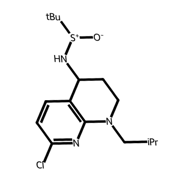 CC(C)CN1CCC(N[S+]([O-])C(C)(C)C)c2ccc(Cl)nc21